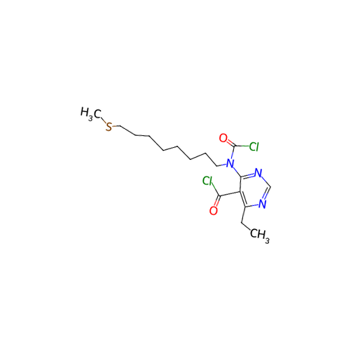 CCc1ncnc(N(CCCCCCCCSC)C(=O)Cl)c1C(=O)Cl